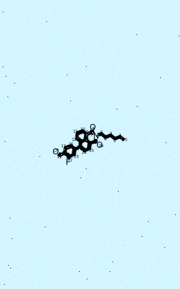 CCCCCCN1C(=O)c2cccc3c(-c4ccc(C=O)c(F)c4)ccc(c23)C1=O